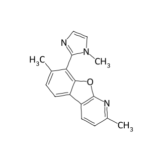 Cc1ccc2c(n1)oc1c(-c3nccn3C)c(C)ccc12